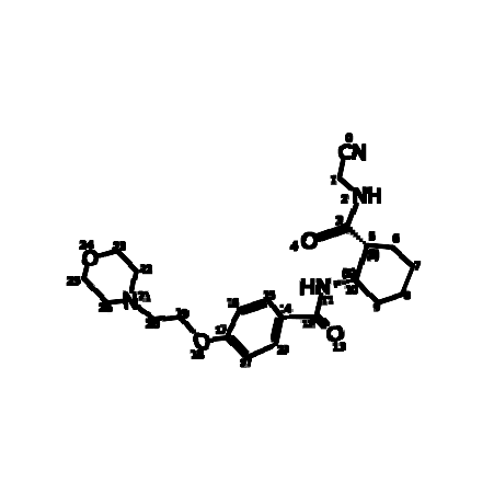 N#CCNC(=O)[C@@H]1CCCC[C@@H]1NC(=O)c1ccc(OCCN2CCOCC2)cc1